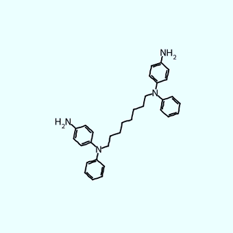 Nc1ccc(N(CCCCCCCCN(c2ccccc2)c2ccc(N)cc2)c2ccccc2)cc1